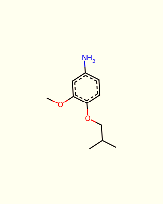 COc1cc(N)ccc1OCC(C)C